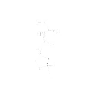 CC(C)NC(=O)OC1CCC(F)(F)C1